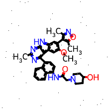 COc1cc2c(cc1-c1c(C)noc1C)[nH]c1nc(C)nc(-c3ccc(NC(=O)CN4CCC(O)CC4)c4ccccc34)c12